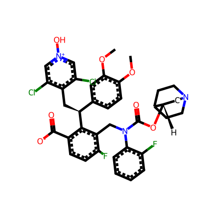 COc1ccc([C@H](Cc2c(Cl)c[n+](O)cc2Cl)c2c(C(=O)[O-])ccc(F)c2CN(C(=O)O[C@H]2CN3CCC2CC3)c2ccccc2F)cc1OC